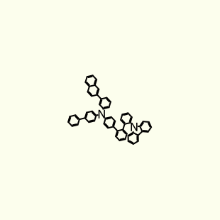 c1ccc(-c2ccc(N(c3ccc(-c4ccccc4-c4ccccc4-n4c5ccccc5c5ccccc54)cc3)c3cccc(-c4ccc5ccccc5c4)c3)cc2)cc1